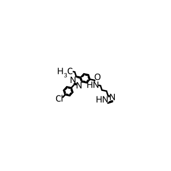 CCc1nc(-c2ccc(Cl)cc2)nc2cc(C(=O)NCCCc3ncc[nH]3)ccc12